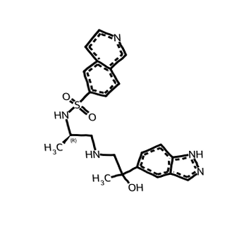 C[C@H](CNCC(C)(O)c1ccc2[nH]ncc2c1)NS(=O)(=O)c1ccc2cnccc2c1